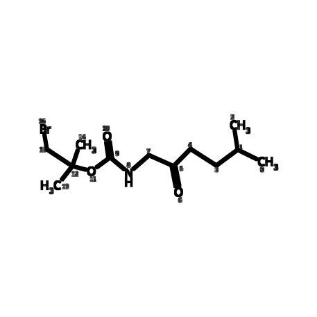 CC(C)CCC(=O)CNC(=O)OC(C)(C)CBr